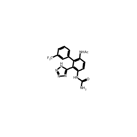 CC(=O)Nc1ccc(NC(N)=O)c(-c2nnn[nH]2)c1-c1cccc(C(F)(F)F)c1